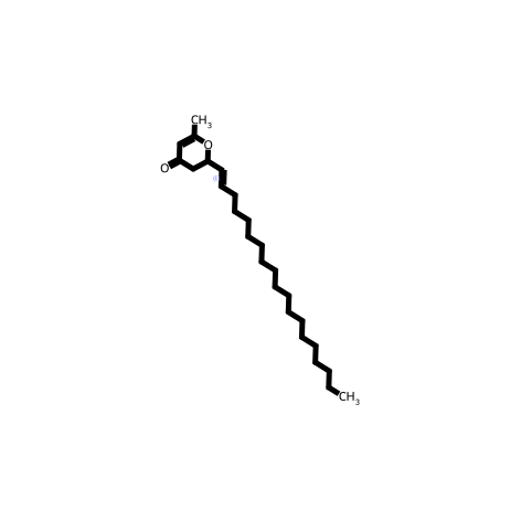 CCCCCCCCCCCCCCCCC/C=C/C1CC(=O)C=C(C)O1